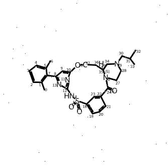 Cc1cccc(C)c1-c1cc2nc(n1)NS(=O)(=O)c1cccc(c1)C(=O)N1CCN(CC(C)C)C[C@@H]1CCO2